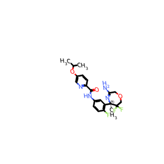 CC(C)Oc1ccc(C(=O)Nc2ccc(F)c([C@@]3(C)N=C(N)COCC3(F)F)c2)nc1